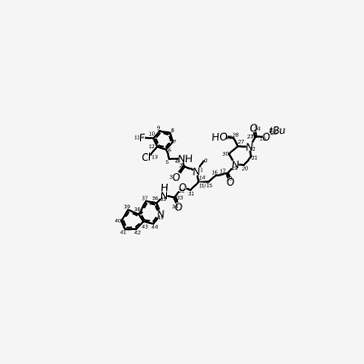 CN(C(=O)NCc1cccc(F)c1Cl)[C@@H](CCC(=O)N1CCN(C(=O)OC(C)(C)C)C(CO)C1)COC(=O)Nc1cc2ccccc2cn1